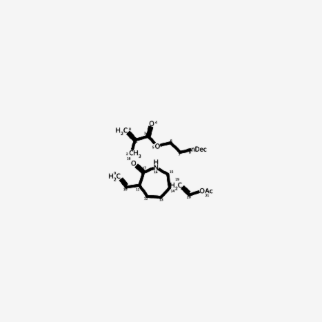 C=C(C)C(=O)OCCCCCCCCCCCC.C=CC1CCCCNC1=O.C=COC(C)=O